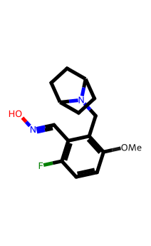 COc1ccc(F)c(/C=N/O)c1CN1C2CCC1CC2